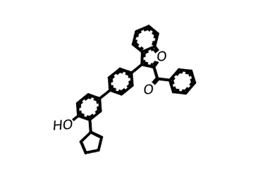 O=C(c1ccccc1)c1oc2ccccc2c1-c1ccc(-c2ccc(O)c(C3CCCC3)c2)cc1